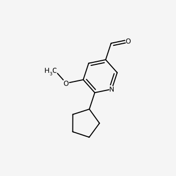 COc1cc(C=O)cnc1C1CCCC1